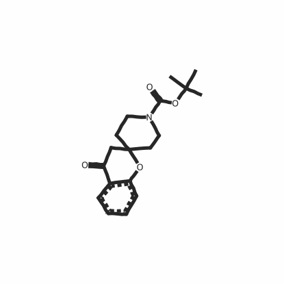 CC(C)(C)OC(=O)N1CCC2(CC1)CC(=O)c1c[c]ccc1O2